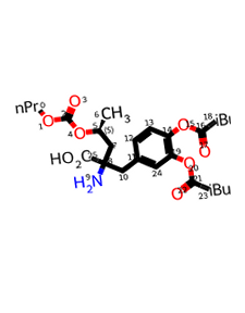 CCCOC(=O)O[C@@H](C)CC(N)(Cc1ccc(OC(=O)C(C)CC)c(OC(=O)C(C)CC)c1)C(=O)O